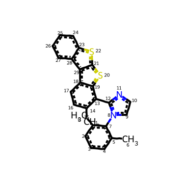 Cc1cccc(C)c1-n1ccnc1-c1c(C)ccc2c1sc1sc3ccccc3c12